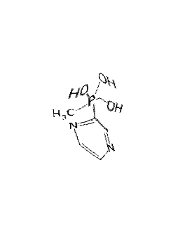 CP(O)(O)(O)c1cnccn1